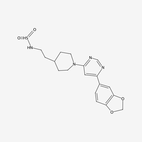 O=[SH](=O)NCCC1CCN(c2cc(-c3ccc4c(c3)OCO4)ncn2)CC1